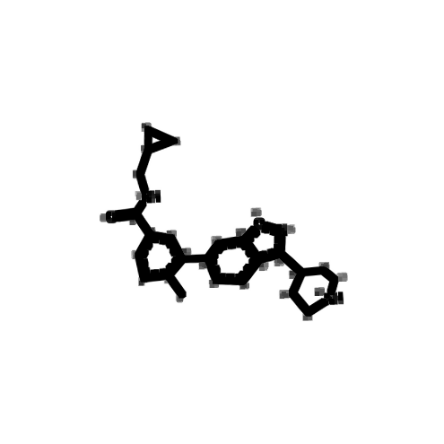 Cc1ccc(C(=O)NCC2CC2)cc1-c1ccc2c(C3CCNCC3)noc2c1